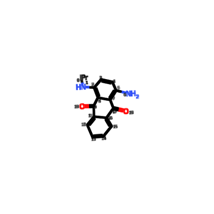 CC(C)Nc1ccc(N)c2c1C(=O)c1ccccc1C2=O